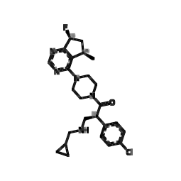 C[C@@H]1C[C@H](F)c2ncnc(N3CCN(C(=O)[C@H](CNCC4CC4)c4ccc(Cl)cc4)CC3)c21